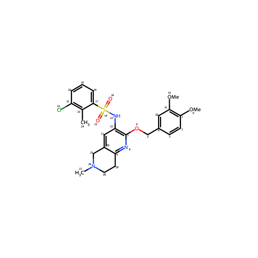 COc1ccc(COc2nc3c(cc2NS(=O)(=O)c2cccc(Cl)c2C)CN(C)CC3)cc1OC